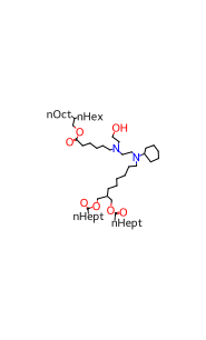 CCCCCCCCC(CCCCCC)COC(=O)CCCCCN(CCO)CCN(CCCCCCC(COC(=O)CCCCCCC)COC(=O)CCCCCCC)C1CCCCC1